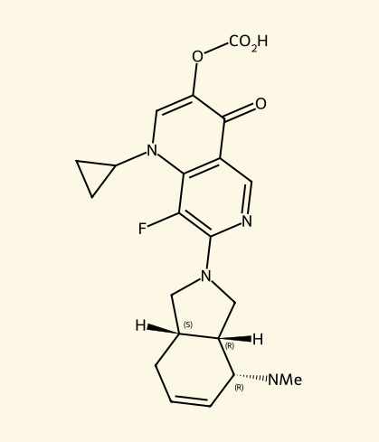 CN[C@@H]1C=CC[C@@H]2CN(c3ncc4c(=O)c(OC(=O)O)cn(C5CC5)c4c3F)C[C@@H]21